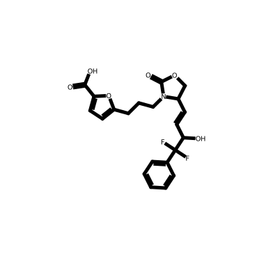 O=C(O)c1ccc(CCCN2C(=O)OCC2C=CC(O)C(F)(F)c2ccccc2)o1